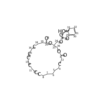 O=C1CCCCCCCCCCCCCCCCCCC(=O)OC(COC(=O)Oc2ccccc2O)CO1